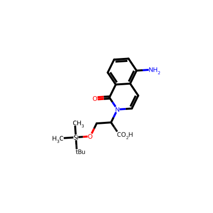 CC(C)(C)[Si](C)(C)OCC(C(=O)O)n1ccc2c(N)cccc2c1=O